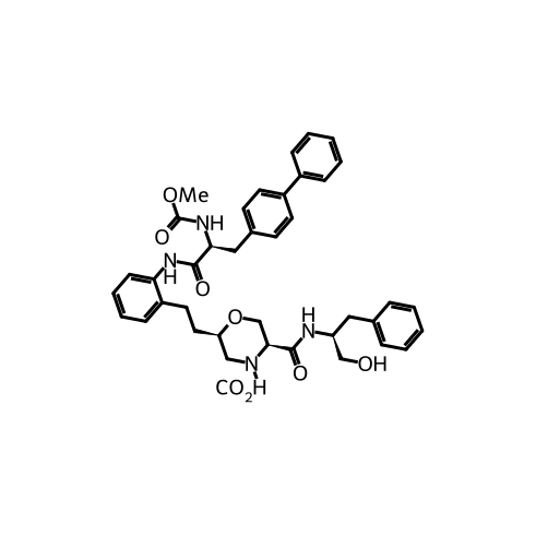 COC(=O)N[C@@H](Cc1ccc(-c2ccccc2)cc1)C(=O)Nc1ccccc1CC[C@@H]1CN(C(=O)O)[C@H](C(=O)N[C@H](CO)Cc2ccccc2)CO1